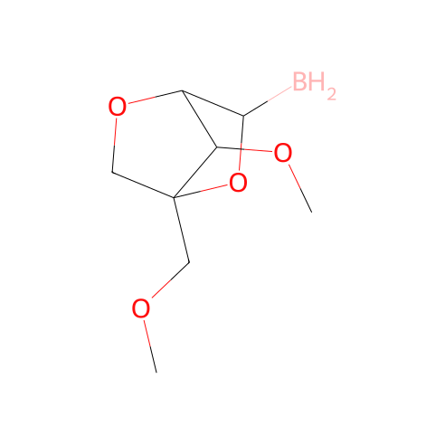 BC1OC2(COC)COC1C2OC